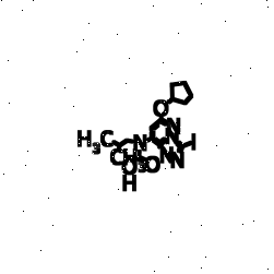 CC(C)CN(C(=O)O)c1cc(OC2CCCC2)nn2c(I)nnc12